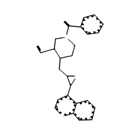 C=CC1CN(C(=O)c2ccccc2)CCC1CC1OC1c1ccnc2ccccc12